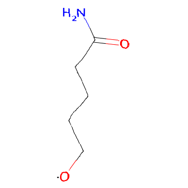 NC(=O)CCCC[O]